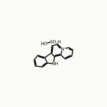 O=S(=O)(O)O.c1ccc2c(c1)[nH]c1c2cc[n+]2ccccc12